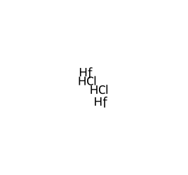 Cl.Cl.[Hf].[Hf]